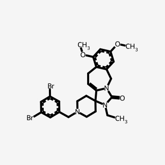 CCN1C(=O)N2Cc3cc(OC)cc(OC)c3CC=C2C12CCN(Cc1cc(Br)cc(Br)c1)CC2